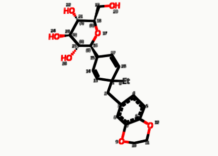 CCC1(Cc2ccc3c(c2)OCCO3)C=CC([C@@H]2O[C@H](CO)[C@@H](O)[C@H](O)[C@H]2O)C=C1